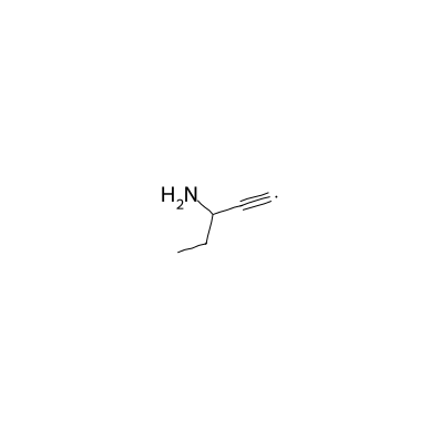 [C]#CC(N)CC